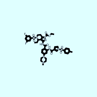 CCOC(=O)n1nc(NC(=O)c2ccc(N3CCN(C)CC3)cc2NC(=O)c2ccn(S(=O)(=O)c3ccc(C)cc3)c2)c2c1CCN(S(=O)(=O)c1cc(F)cc(F)c1)C2CC